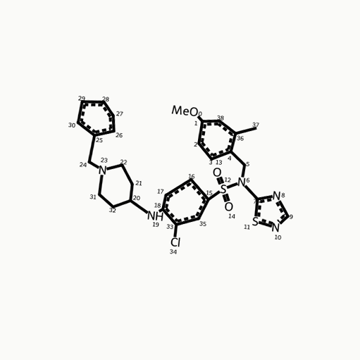 COc1ccc(CN(c2ncns2)S(=O)(=O)c2ccc(NC3CCN(Cc4ccccc4)CC3)c(Cl)c2)c(C)c1